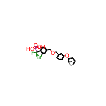 O=P(O)(O)C(F)(F)c1ccc(COCc2cccc(Oc3ccccc3)c2)cc1Br